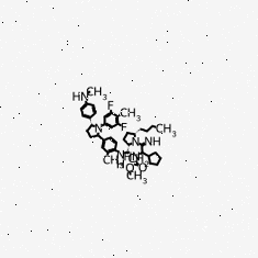 C=C(Nc1ccc(C2CC[C@H](c3ccc(NC)cc3)N2c2cc(F)c(C)c(F)c2)cc1C)[C@@H]1CC[C@H](CCCC)N1C(=N)C(NC(=O)OC)C1CCCC1